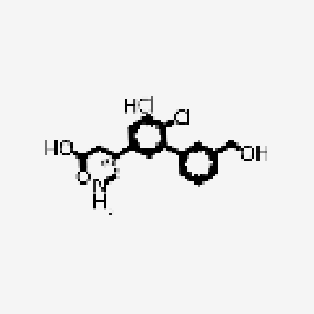 Cl.NC[C@H](CC(=O)O)c1ccc(Cl)c(-c2cccc(CO)c2)c1